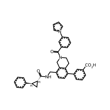 O=C(O)c1cccc(-c2ccc(CNC(=O)[C@@H]3C[C@H]3c3ccccc3)c3c2CCN(C(=O)c2cccc(-n4cccc4)c2)C3)c1